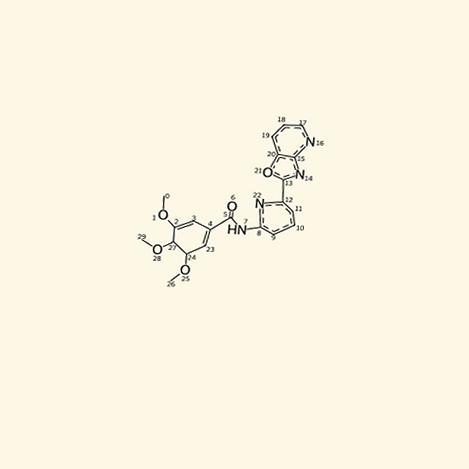 COC1=CC(C(=O)Nc2cccc(-c3nc4ncccc4o3)n2)=CC(OC)C1OC